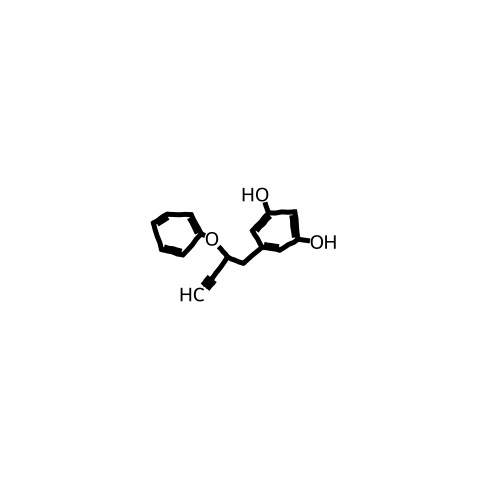 C#CC(Cc1cc(O)cc(O)c1)Oc1ccccc1